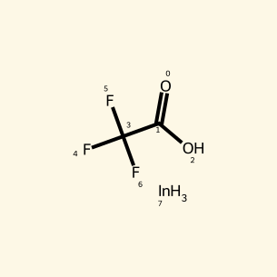 O=C(O)C(F)(F)F.[InH3]